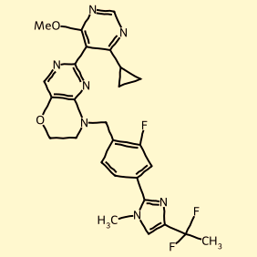 COc1ncnc(C2CC2)c1-c1ncc2c(n1)N(Cc1ccc(-c3nc(C(C)(F)F)cn3C)cc1F)CCO2